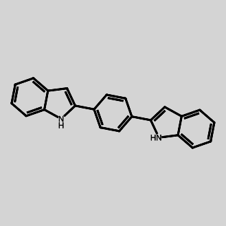 c1ccc2[nH]c(-c3ccc(-c4cc5ccccc5[nH]4)cc3)cc2c1